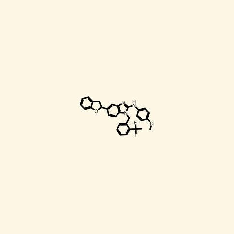 COc1ccc(Nc2nc3cc(C4Cc5ccccc5O4)ccc3n2Cc2ccccc2C(C)(F)F)cc1